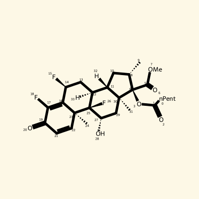 CCCCCC(=O)O[C@]1(C(=O)OC)[C@@H](C)C[C@H]2[C@@H]3C[C@H](F)C4=C(F)C(=O)C=C[C@]4(C)[C@@]3(F)[C@@H](O)C[C@@]21C